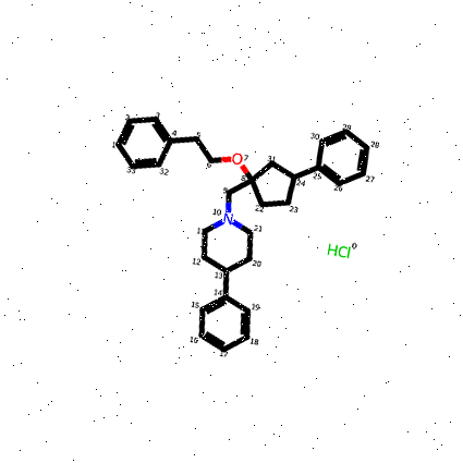 Cl.c1ccc(CCOC2(CN3CCC(c4ccccc4)CC3)CCC(c3ccccc3)C2)cc1